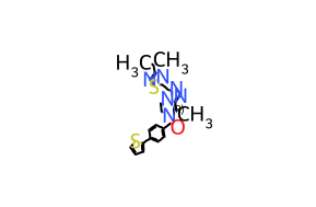 CC(C)c1nsc(-c2nnc3n2CCN(C(=O)c2ccc(-c4cccs4)cc2)[C@@H]3C)n1